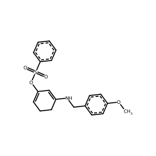 COc1ccc(CNC2=CC(OS(=O)(=O)c3ccccc3)=CC[CH]2)cc1